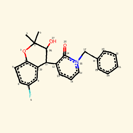 CC1(C)Oc2ccc(F)cc2C(c2cccn(Cc3ccccc3)c2=O)C1O